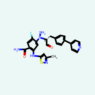 Cc1cc(Nc2cc(N(N)[C@@H](C=O)Cc3ccc(-c4ccncc4)cc3)c(F)cc2C(N)=O)sn1